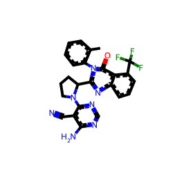 Cc1ccccc1-n1c(C2CCCN2c2ncnc(N)c2C#N)nc2cccc(C(F)(F)F)c2c1=O